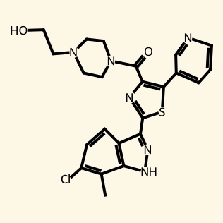 Cc1c(Cl)ccc2c(-c3nc(C(=O)N4CCN(CCO)CC4)c(-c4cccnc4)s3)n[nH]c12